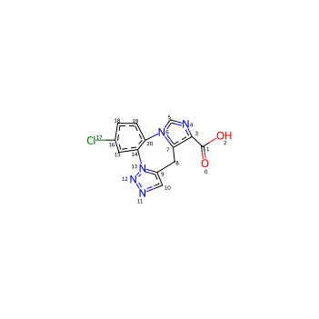 O=C(O)c1ncn2c1Cc1cnnn1-c1cc(Cl)ccc1-2